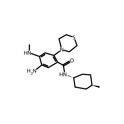 CNc1cc(N2CCSCC2)c(C(=O)N[C@H]2CC[C@H](C)CC2)cc1N